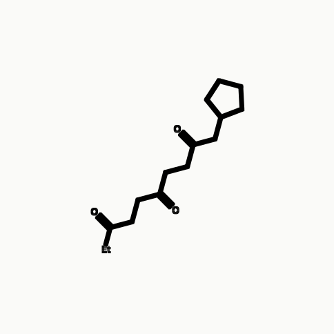 CCC(=O)CCC(=O)CCC(=O)CC1CCCC1